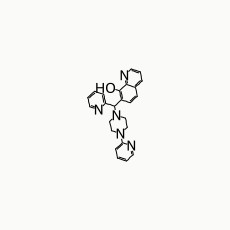 Oc1c(C(c2ccccn2)N2CCN(c3ccccn3)CC2)ccc2cccnc12